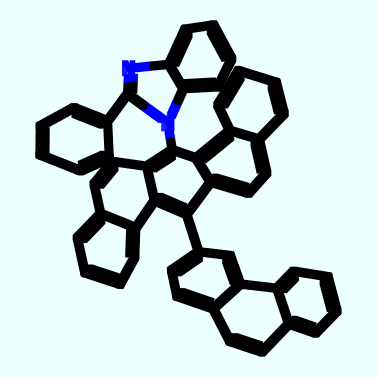 c1ccc(-c2nc3ccccc3n2-c2c3ccc4ccccc4c3c(-c3ccc4ccc5ccccc5c4c3)c3ccc4ccccc4c23)cc1